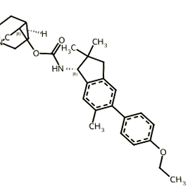 CCOc1ccc(-c2cc3c(cc2C)[C@H](NC(=O)O[C@H]2CN4CCC2CC4)C(C)(C)C3)cc1